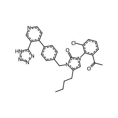 CCCCc1cn(-c2c(Cl)cccc2C(C)=O)c(=O)n1Cc1ccc(-c2ccncc2-c2nnn[nH]2)cc1